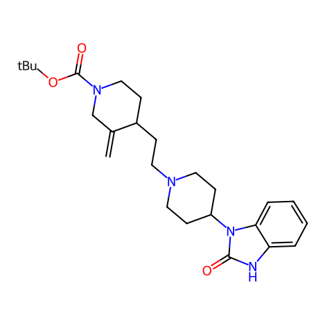 C=C1CN(C(=O)OC(C)(C)C)CCC1CCN1CCC(n2c(=O)[nH]c3ccccc32)CC1